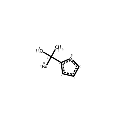 CC(C)(C)C(C)(O)c1cccs1